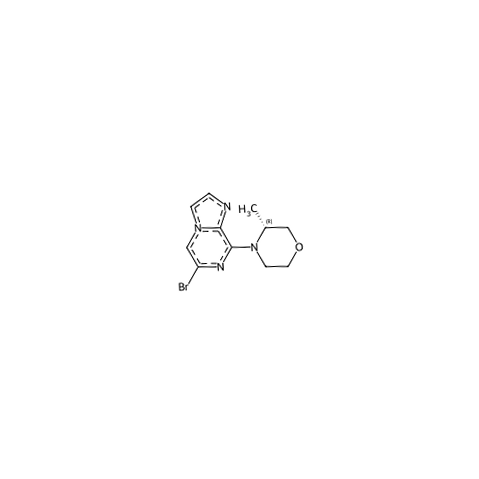 C[C@@H]1COCCN1c1nc(Br)cn2ccnc12